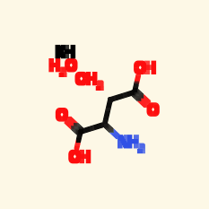 NC(CC(=O)O)C(=O)O.O.O.[KH]